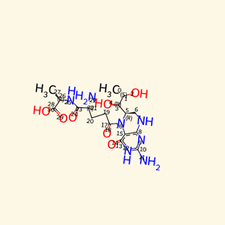 C[C@H](O)[C@H](O)[C@H]1CNc2nc(N)[nH]c(=O)c2N1C(=O)CC[C@@H](N)C(=O)N[C@H](C)C(=O)O